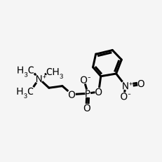 C[N+](C)(C)CCOP(=O)([O-])Oc1ccccc1[N+](=O)[O-]